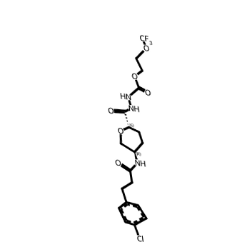 O=C(CCc1ccc(Cl)cc1)N[C@@H]1CC[C@@H](C(=O)NNC(=O)OCCOC(F)(F)F)OC1